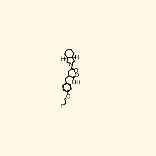 O=C(O)C(CC(=O)N1C[C@H]2CCCC[C@H]2C1)Cc1ccc(OCCF)cc1